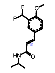 COc1ccc(/C=C/C(=O)NC(C)C)cc1C(F)F